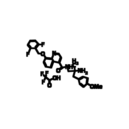 COc1ccc(CC(C)(N)CNC(=O)c2ccnc3c(OCc4c(F)cccc4F)cccc23)cc1.O=C(O)C(F)(F)F